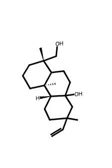 C=CC1(C)CC[C@H]2C(O)(CCC3[C@@](C)(CO)CCC[C@@]32C)C1